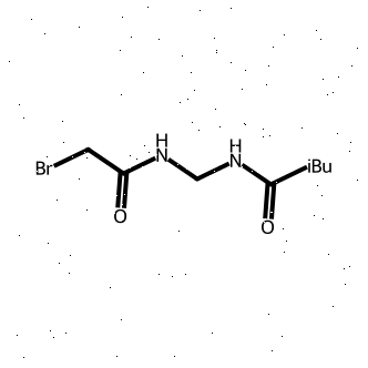 CCC(C)C(=O)NCNC(=O)CBr